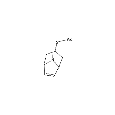 CC(=O)SC1CC2C=CC(C1)N2C